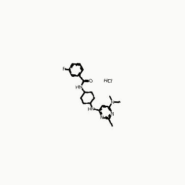 Cc1nc(NC2CCC(NC(=O)c3cccc(F)c3)CC2)cc(N(C)C)n1.Cl